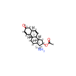 CC(=O)O[C@@H]1C[C@H]2[C@@H]3C=C[C@@H]4CC(=O)C=C[C@]4(C)[C@H]3CC[C@]2(C)[C@H]1N